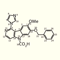 COc1cc2c3c(-n4ccnc4)nccc3n(C(=O)O)c2cc1OCc1ccccc1